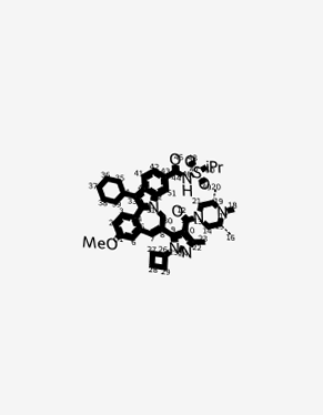 COc1ccc2c(c1)C=C(c1c(C(=O)N3C[C@@H](C)N(C)[C@@H](C)C3)c(C)nn1C1CCC1)Cn1c-2c(C2CCCCC2)c2ccc(C(=O)NS(=O)(=O)C(C)C)cc21